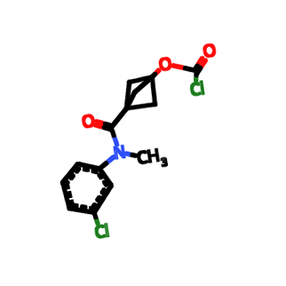 CN(C(=O)C12CC(OC(=O)Cl)(C1)C2)c1cccc(Cl)c1